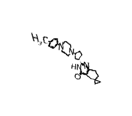 Cc1ccc(N2CCN([C@@H]3CC[C@H](c4nc5c(c(=O)[nH]4)CC4(CC5)CC4)C3)CC2)cc1